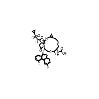 O=C(O)N[C@H]1CCCCC2=C(C2)/N=C\[C@@H]2[C@H](C(=O)NS(=O)(=O)C3CC3)CC(=O)N2[C@H](Oc2nc3ccc(F)cc3c3c(F)cccc23)CCC1=O